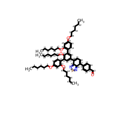 CCCCCCOc1ccc(-c2cc(-c3ccc(-c4ccc(C=O)cc4)c4nsnc34)cc(-c3ccc(OCCCCCC)cc3OCCCCCC)c2OCCCCCC)c(OCCCCCC)c1